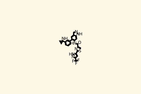 NC1(c2cccc(-c3cc4cn[nH]c4cc3NC(=O)c3csc(-c4cc(C(F)(F)F)n[nH]4)n3)c2)CC1